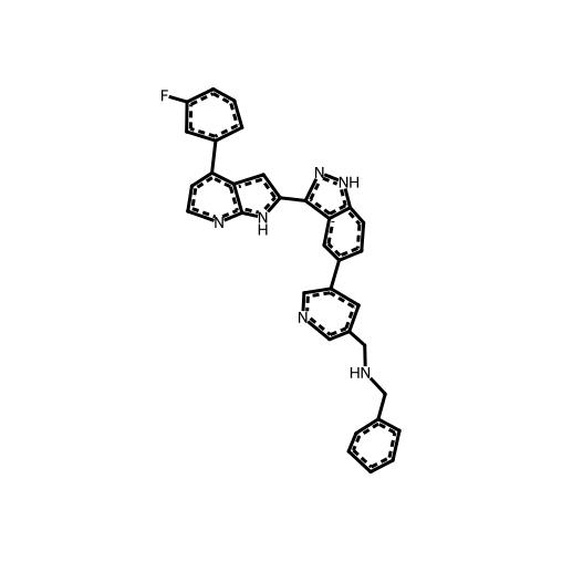 Fc1cccc(-c2ccnc3[nH]c(-c4n[nH]c5ccc(-c6cncc(CNCc7ccccc7)c6)cc45)cc23)c1